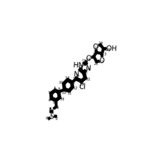 CS(C)=NCc1cccc(-c2ccc(-c3nc4[nH]c(OC5COC6C(O)COC56)nc4cc3Cl)cc2)c1